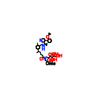 COCCN(CC(O)C(O)C(O)C(O)CO)C(=O)CCCC(C)c1ccc(C)c(CNC2(c3cnccc3-c3ccccc3OC3CC3)CC2)c1